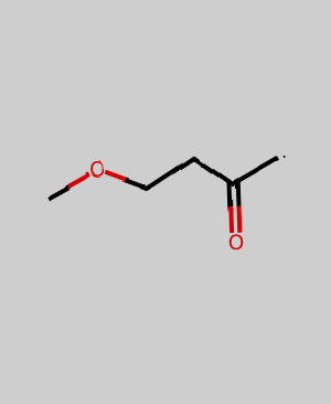 [CH2]C(=O)CCOC